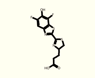 O=C(O)CCC1CSC(c2nc3cc(F)c(O)c(F)c3s2)=N1